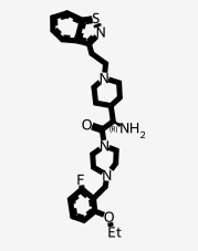 CCOc1cccc(F)c1CN1CCN(C(=O)[C@H](N)C2CCN(CCc3nsc4ccccc34)CC2)CC1